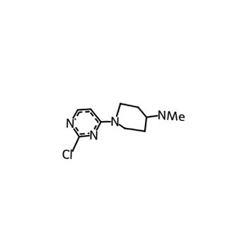 CNC1CCN(c2ccnc(Cl)n2)CC1